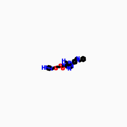 CCc1c(NC(=O)OCCOCCN2CCNCC2)cn2ncnc(Nc3ccc4c(cnn4Cc4ccccc4)c3)c12